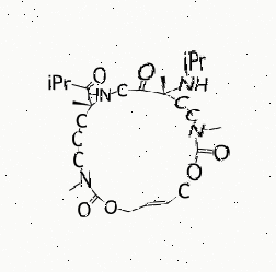 CC(C)N[C@]1(C)CCN(C)C(=O)OC/C=C/COC(=O)N(C)CCC[C@](C)(C(=O)C(C)C)NCC1=O